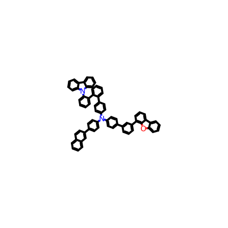 c1cc(-c2ccc(N(c3ccc(-c4ccc5ccccc5c4)cc3)c3ccc(-c4ccccc4-c4ccccc4-n4c5ccccc5c5ccccc54)cc3)cc2)cc(-c2cccc3c2oc2ccccc23)c1